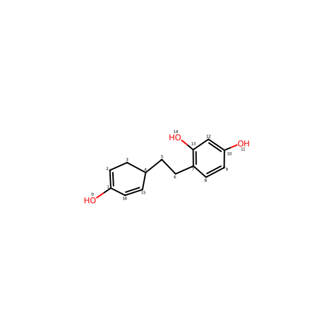 OC1=CCC(CCc2ccc(O)cc2O)C=C1